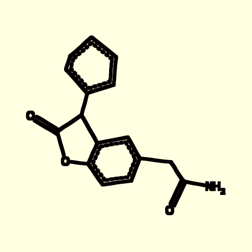 NC(=O)Cc1ccc2c(c1)C(c1ccccc1)C(=O)O2